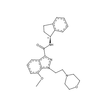 COc1cccc2c(C(=O)N[C@H]3CCc4ccccc43)nn(CCN3CCOCC3)c12